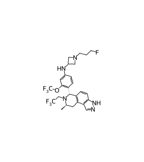 C[C@@H]1Cc2c(ccc3[nH]ncc23)[C@@H](c2ccc(NC3CN(CCCF)C3)cc2OC(F)(F)F)N1CC(F)(F)F